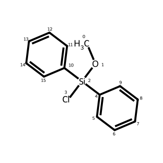 CO[Si](Cl)(c1ccccc1)c1ccccc1